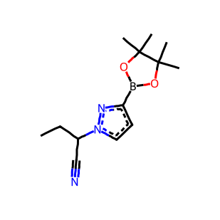 CCC(C#N)n1ccc(B2OC(C)(C)C(C)(C)O2)n1